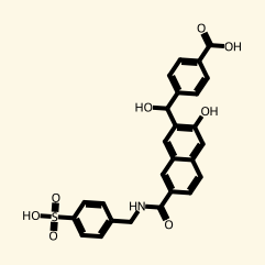 O=C(O)c1ccc(C(O)c2cc3cc(C(=O)NCc4ccc(S(=O)(=O)O)cc4)ccc3cc2O)cc1